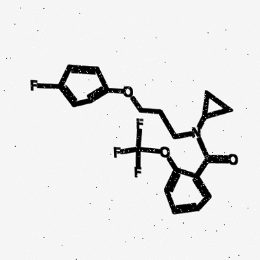 O=C(c1ccccc1OC(F)(F)F)N(CCCOc1ccc(F)cc1)C1CC1